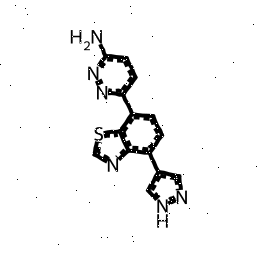 Nc1ccc(-c2ccc(-c3cn[nH]c3)c3ncsc23)nn1